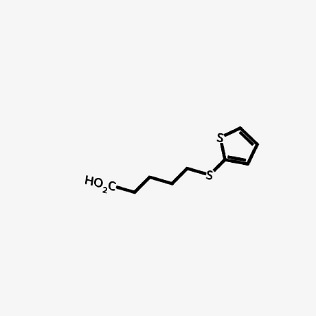 O=C(O)CCCCSc1cccs1